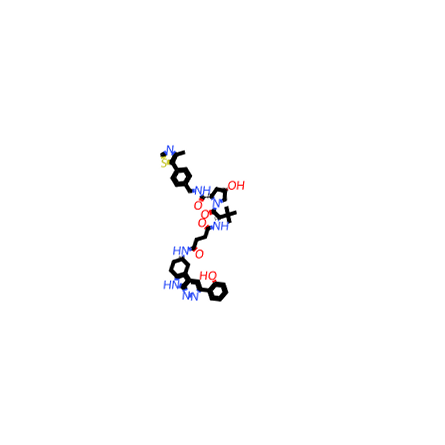 Cc1ncsc1-c1ccc(CNC(=O)[C@@H]2C[C@@H](O)CN2C(=O)[C@@H](NC(=O)CCC(=O)N[C@@H]2CCc3[nH]c4nnc(-c5ccccc5O)cc4c3C2)C(C)(C)C)cc1